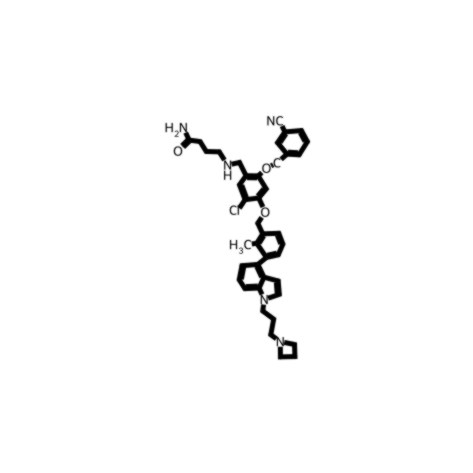 Cc1c(COc2cc(OCc3cccc(C#N)c3)c(CNCCCC(N)=O)cc2Cl)cccc1-c1cccc2c1ccn2CCCN1CCC1